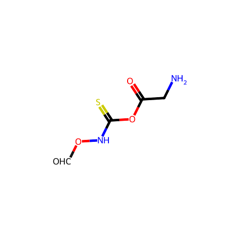 NCC(=O)OC(=S)NOC=O